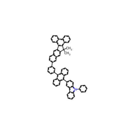 CC1(C)c2cc3cc(-c4cccc(-c5c6ccccc6c(-c6ccc7c(c6)c6ccccc6n7-c6ccccc6)c6ccccc56)c4)ccc3cc2-c2c1c1ccccc1c1ccccc21